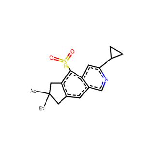 CCC1(C(C)=O)Cc2cc3cnc(C4CC4)cc3c([SH](=O)=O)c2C1